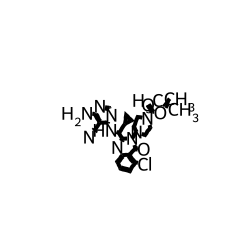 CC(C)(C)OC(=O)N1CCN(n2c(C(Nc3ncnc(N)c3C#N)C3CC3)nc3cccc(Cl)c3c2=O)CC1